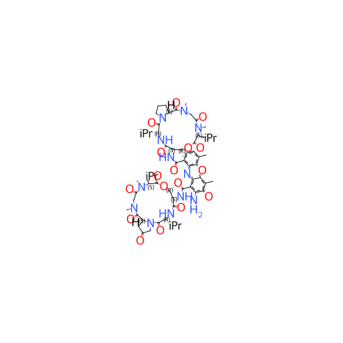 Cc1c2oc3c(C)ccc(C(=O)N[C@@H]4C(=O)N[C@H](C(C)C)C(=O)N5CCC[C@H]5C(=O)N(C)CC(=O)N(C)[C@@H](C(C)C)C(=O)O[C@@H]4C)c3nc-2c(C(=O)N[C@@H]2C(=O)N[C@H](C(C)C)C(=O)N3CC(=O)C[C@H]3C(=O)N(C)CC(=O)N(C)[C@@H](C(C)C)C(=O)O[C@@H]2C)c(N)c1=O